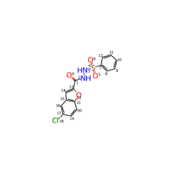 O=C(NNS(=O)(=O)c1ccccc1)c1cc2cc(Cl)ccc2o1